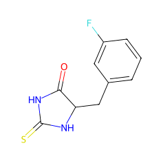 O=C1NC(=S)NC1Cc1cccc(F)c1